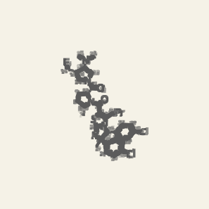 CC(C)C1=C(C(=O)N2[C@H](C)CC[C@@H]2C(=O)N2C[C@H](CF)[C@H](N(C)C)C2)SC2=N[C@@](C)(c3ccc(Cl)cc3)[C@@H](c3ccc(Cl)cc3)N21